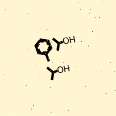 CC(C)O.CC(C)O.Cc1ccccc1